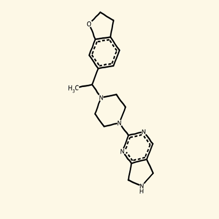 CC(c1ccc2c(c1)OCC2)N1CCN(c2ncc3c(n2)CNC3)CC1